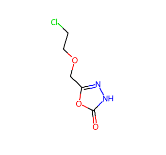 O=c1[nH]nc(COCCCl)o1